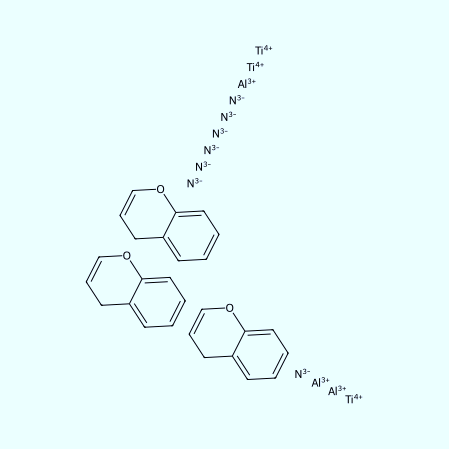 C1=COc2ccccc2C1.C1=COc2ccccc2C1.C1=COc2ccccc2C1.[Al+3].[Al+3].[Al+3].[N-3].[N-3].[N-3].[N-3].[N-3].[N-3].[N-3].[Ti+4].[Ti+4].[Ti+4]